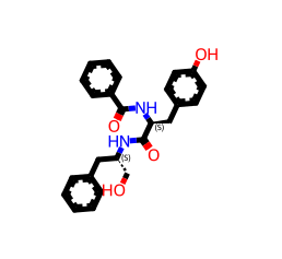 O=C(N[C@@H](Cc1ccc(O)cc1)C(=O)N[C@H](CO)Cc1ccccc1)c1ccccc1